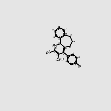 CC(C)C1=C(C=O)C(c2ccc(F)cc2)=C2CCCc3ccccc3C2N1